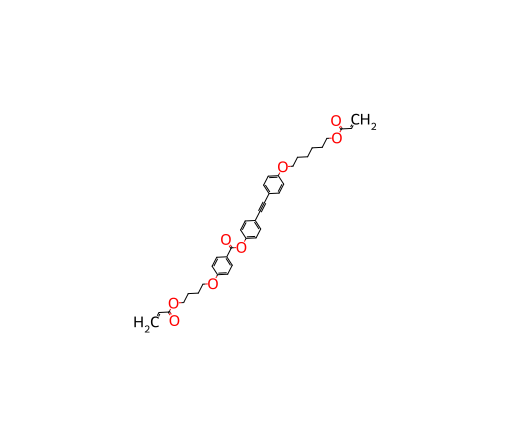 C=CC(=O)OCCCCCCOc1ccc(C#Cc2ccc(OC(=O)c3ccc(OCCCCOC(=O)C=C)cc3)cc2)cc1